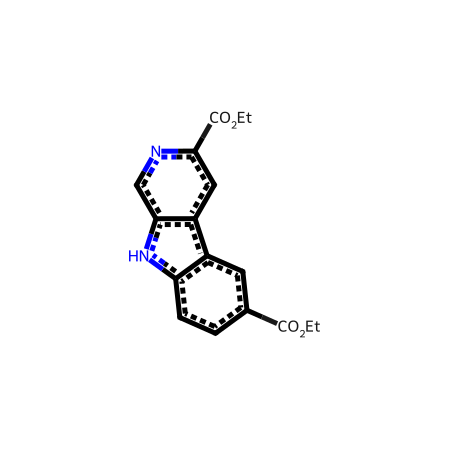 CCOC(=O)c1ccc2[nH]c3cnc(C(=O)OCC)cc3c2c1